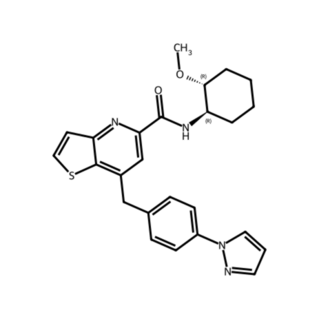 CO[C@@H]1CCCC[C@H]1NC(=O)c1cc(Cc2ccc(-n3cccn3)cc2)c2sccc2n1